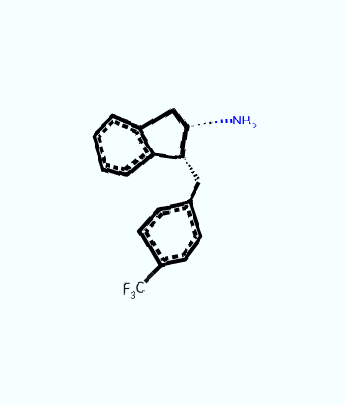 N[C@H]1Cc2ccccc2[C@H]1Cc1ccc(C(F)(F)F)cc1